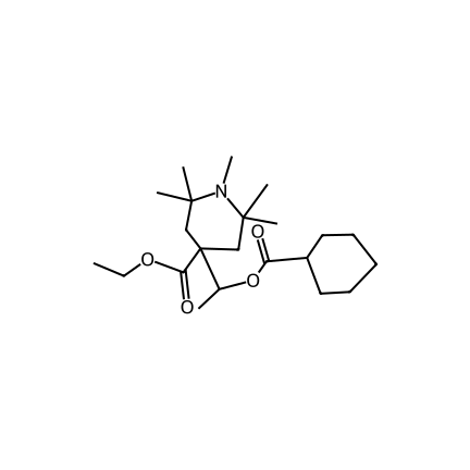 CCOC(=O)C1(C(C)OC(=O)C2CCCCC2)CC(C)(C)N(C)C(C)(C)C1